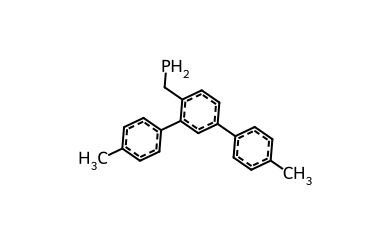 Cc1ccc(-c2ccc(CP)c(-c3ccc(C)cc3)c2)cc1